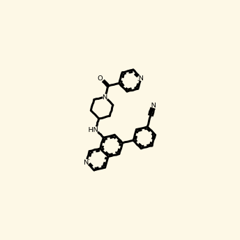 N#Cc1cccc(-c2cc(NC3CCN(C(=O)c4ccncc4)CC3)c3cnccc3c2)c1